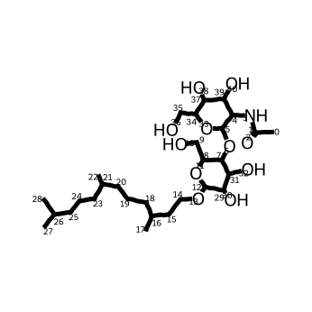 CC(=O)NC1C(OC2C(CO)OC(OCCC(C)CCCC(C)CCCC(C)C)C(O)C2O)OC(CO)C(O)C1O